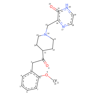 O=C(Cc1ccccc1OC(F)(F)F)C1CCN(Cc2ncc[nH]c2=O)CC1